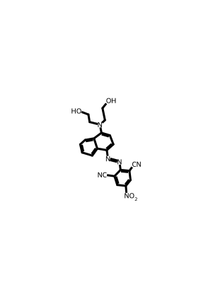 N#Cc1cc([N+](=O)[O-])cc(C#N)c1N=Nc1ccc(N(CCO)CCO)c2ccccc12